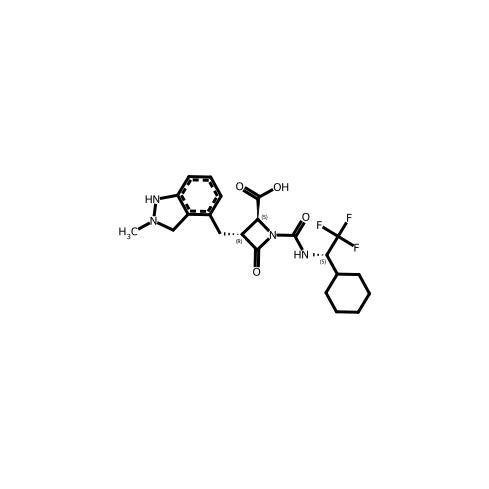 CN1Cc2c(C[C@H]3C(=O)N(C(=O)N[C@@H](C4CCCCC4)C(F)(F)F)[C@@H]3C(=O)O)cccc2N1